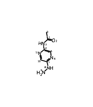 CC(=O)Nc1cnc(NN)cn1